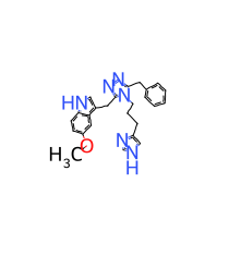 COc1ccc2[nH]cc(Cc3nnc(Cc4ccccc4)n3CCCc3c[nH]cn3)c2c1